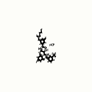 CCCCN(C)Cc1cc(C)cc(C(=O)N[C@@H](Cc2cc(F)cc(F)c2)[C@H](O)CNCc2cccc(C(F)(F)F)c2)c1.Cl